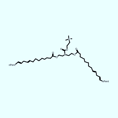 CCCCCC=CCC=CCCCCCCCC(=O)OCCN(CCOC(=O)CCCCCCCC=CCC=CCCCCC)C(=O)OCC[N+](C)(C)C